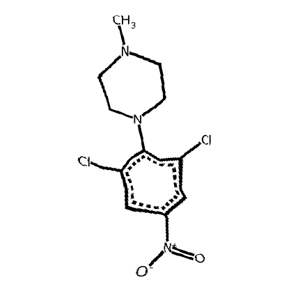 CN1CCN(c2c(Cl)cc([N+](=O)[O-])cc2Cl)CC1